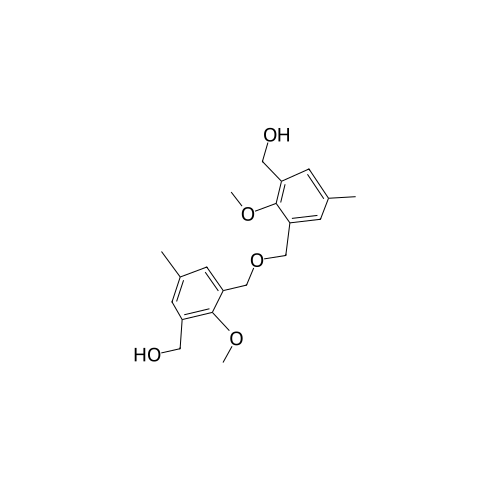 COc1c(CO)cc(C)cc1COCc1cc(C)cc(CO)c1OC